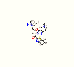 CC(=O)N1CCC[C@@H](C(=O)NC(CCCCNC(=O)O)C(=O)c2nc3ccccc3s2)C1